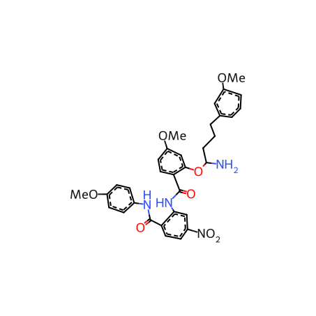 COc1ccc(NC(=O)c2ccc([N+](=O)[O-])cc2NC(=O)c2ccc(OC)cc2OC(N)CCCc2cccc(OC)c2)cc1